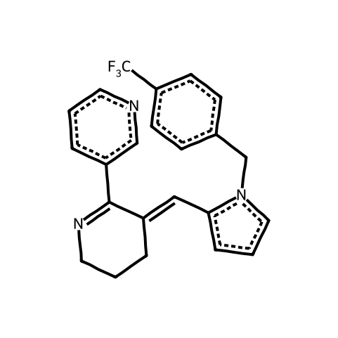 FC(F)(F)c1ccc(Cn2cccc2C=C2CCCN=C2c2cccnc2)cc1